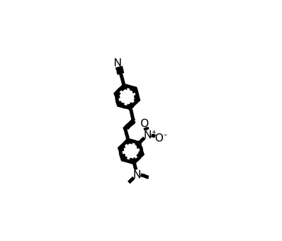 CN(C)c1ccc(/C=C/c2ccc(C#N)cc2)c([N+](=O)[O-])c1